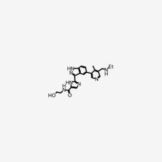 CCNCc1cncc(-c2ccc3[nH]nc(-c4ncc(C(=O)NCCO)[nH]4)c3c2)c1C